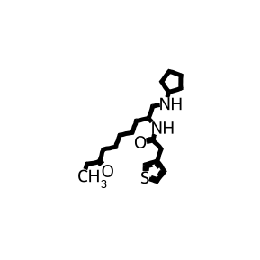 CCC(=O)CCCCCC(CNC1CCCC1)NC(=O)Cc1ccsc1